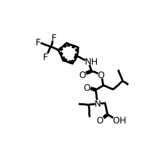 CC(C)CC(OC(=O)Nc1ccc(C(F)(F)F)cc1)C(=O)N(CC(=O)O)C(C)C